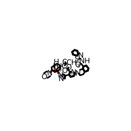 CC(C)(C)OC(=O)c1nc(N2CCc3cccc(C(=O)Nc4nc5ccccc5s4)c3C2)ccc1-c1cnn(CC23CC4CC(C2)CC(N2CCOCC2)(C4)C3)c1